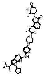 C[C@@H](Oc1cccc2c1CN([C@H]1CCC(=O)NC1=O)C2=O)C(=O)N1CCN(c2ccc(Nc3ncc4cc(C(=O)N(C)C)n(C5CCCC5)c4n3)nc2)CC1